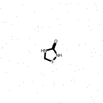 O=C1NCSN1